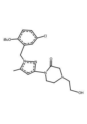 Cc1cc(N2CCN(CCO)CC2=O)nn1Cc1cc(Cl)ccc1OCC(C)C